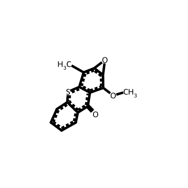 COc1c2c(c(C)c3sc4ccccc4c(=O)c13)O2